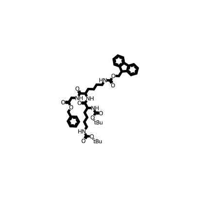 CC(C)(C)OC(=O)NCCCCC(NC(=O)OC(C)(C)C)C(=O)NC(CCCCNC(=O)OCC1c2ccccc2-c2ccccc21)C(=O)NCC(=O)OCc1ccccc1